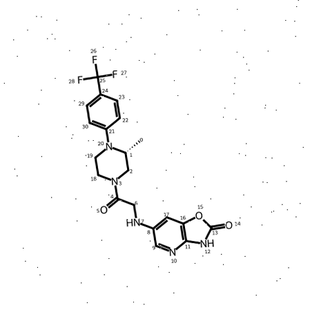 C[C@@H]1CN(C(=O)CNc2cnc3[nH]c(=O)oc3c2)CCN1c1ccc(C(F)(F)F)cc1